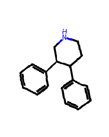 c1ccc(C2CCNCC2c2ccccc2)cc1